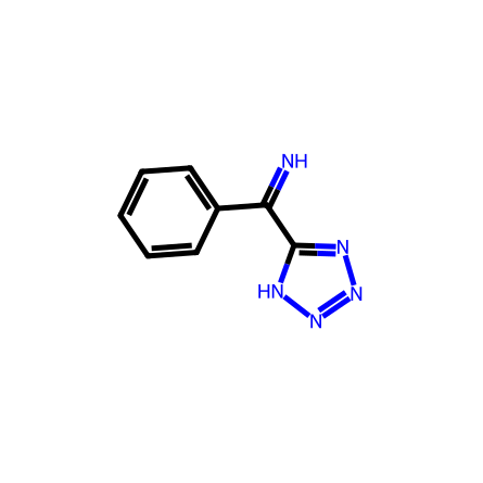 N=C(c1ccccc1)c1nnn[nH]1